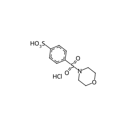 Cl.O=S(=O)(O)c1ccc(S(=O)(=O)N2CCOCC2)cc1